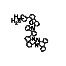 C=C/C=C\C(=C/C)c1cccc2c1oc1c(-n3c4ccccc4c4c5c6ccccc6n(-c6nc7c8ccccc8c8ccccc8c7nc6-c6ccccc6)c5ccc43)cccc12